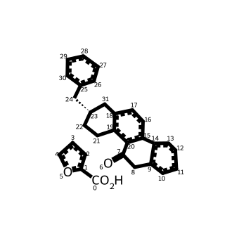 O=C(O)c1ccco1.O=C1Cc2ccccc2-c2ccc3c(c21)CC[C@H](Cc1ccccc1)C3